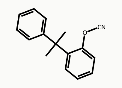 CC(C)(c1ccccc1)c1ccccc1OC#N